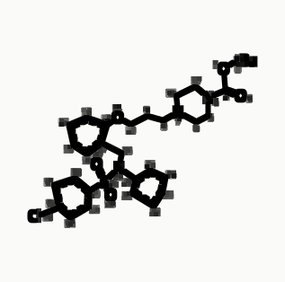 CC(C)(C)OC(=O)N1CCN(CCCOc2ccccc2CN(c2ccccc2)S(=O)(=O)c2ccc(Cl)cc2)CC1